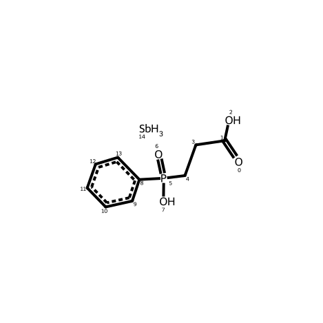 O=C(O)CCP(=O)(O)c1ccccc1.[SbH3]